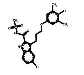 Cc1cc(OCCCc2c(C(=O)NS(C)(=O)=O)[nH]c3ccc(Cl)cc23)cc(C)c1Cl